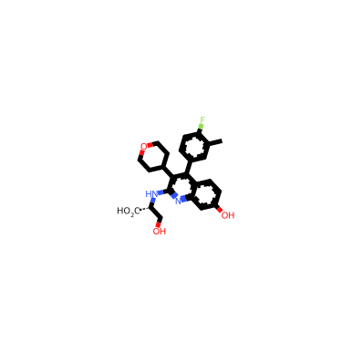 Cc1cc(-c2c(C3CCOCC3)c(N[C@H](CO)C(=O)O)nc3cc(O)ccc23)ccc1F